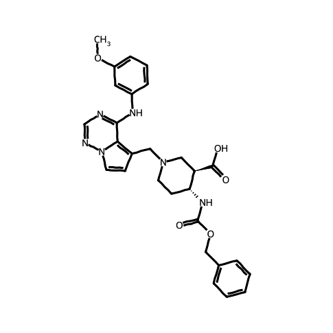 COc1cccc(Nc2ncnn3ccc(CN4CC[C@@H](NC(=O)OCc5ccccc5)[C@H](C(=O)O)C4)c23)c1